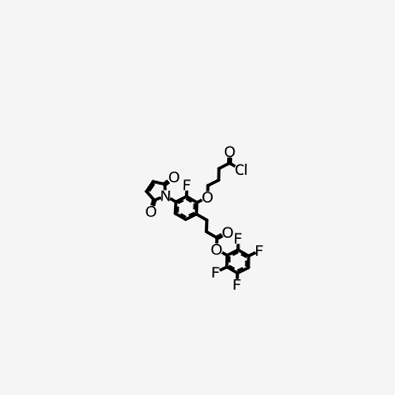 O=C(Cl)CCCOc1c(CCC(=O)Oc2c(F)c(F)cc(F)c2F)ccc(N2C(=O)C=CC2=O)c1F